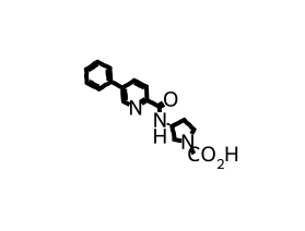 O=C(N[C@@H]1CCN(C(=O)O)C1)c1ccc(-c2ccccc2)cn1